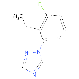 CCc1c(F)cccc1-n1cncn1